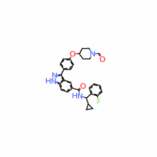 O=CN1CCC(Oc2ccc(-c3n[nH]c4ccc(C(=O)NC(c5ccccc5F)C5CC5)cc34)cc2)CC1